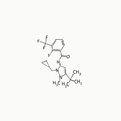 Cn1c(C(C)(C)C)c/c(=N\C(=O)c2cccc(C(F)(F)F)c2F)n1CC1CC1